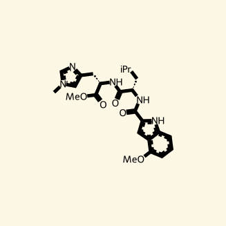 COC(=O)[C@H](Cc1cn(C)cn1)NC(=O)[C@H](CC(C)C)NC(=O)c1cc2c(OC)cccc2[nH]1